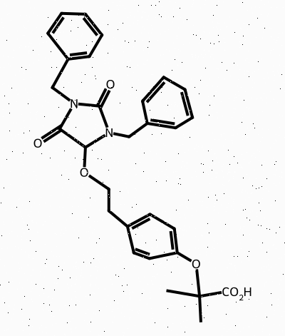 CC(C)(Oc1ccc(CCOC2C(=O)N(Cc3ccccc3)C(=O)N2Cc2ccccc2)cc1)C(=O)O